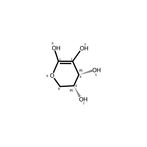 OC1=C(O)[C@H](O)[C@H](O)CO1